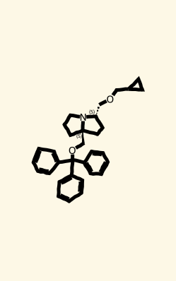 c1ccc(C(OC[C@@]23CCCN2[C@H](COCC2CC2)CC3)(c2ccccc2)c2ccccc2)cc1